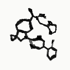 CN(CC1OCCO1)C(=O)c1ccc2c(c1)N(c1ncc(-c3ccccc3F)cn1)CC21CC1